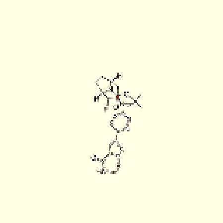 CN(c1ccc(-c2cc3c(=O)[nH]ccc3s2)nn1)[C@@H]1C[C@H]2CC[C@@H]([C@@H]1F)N2C(=O)OC(C)(C)C